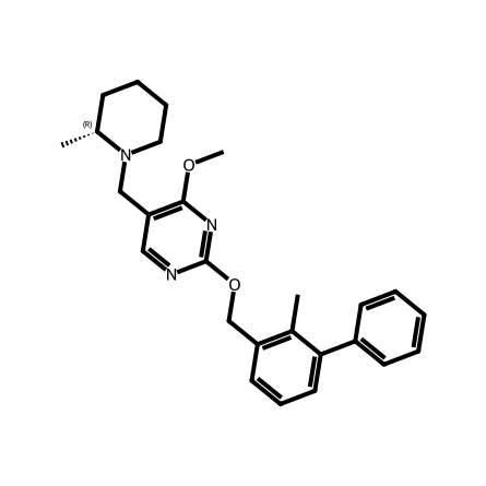 COc1nc(OCc2cccc(-c3ccccc3)c2C)ncc1CN1CCCC[C@H]1C